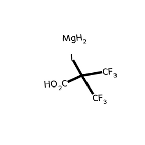 O=C(O)C(I)(C(F)(F)F)C(F)(F)F.[MgH2]